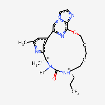 CCN1C(=O)N[C@@H](CCC(F)(F)F)CCCCCOc2nc(cn3ccnc23)-c2cc(C)nc(c2)[C@H]1C